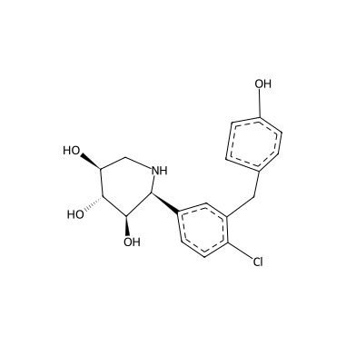 Oc1ccc(Cc2cc([C@@H]3NC[C@H](O)[C@@H](O)[C@@H]3O)ccc2Cl)cc1